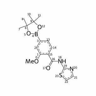 COc1cc(B2OC(C)(C)C(C)(C)O2)ccc1C(=O)Nc1nccs1